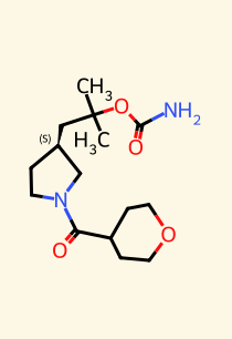 CC(C)(C[C@@H]1CCN(C(=O)C2CCOCC2)C1)OC(N)=O